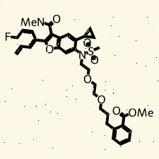 C=C/C=C(\C=C/CF)c1oc2cc(N(CCOCCOCCCc3ccccc3C(=O)OC)S(C)(=O)=O)c(C3CC3)cc2c1C(=O)NC